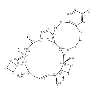 C[C@H]1C/C=C/[C@H](O)[C@@H]2CC[C@H]2CN2CCCCc3cc(Cl)ccc3COc3ccc(cc32)C(=O)NS(=O)(=O)[C@H]1C1CCC1